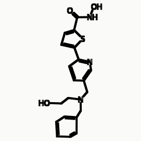 O=C(NO)c1ccc(-c2ccc(CN(CCO)Cc3ccccc3)cn2)s1